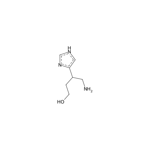 NCC(CCO)c1c[nH]cn1